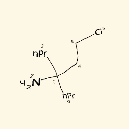 CCCC(N)(CCC)CCCl